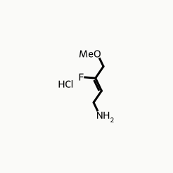 COC/C(F)=C/CN.Cl